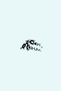 CC(=O)Nc1nccc(-c2c(-c3ccc(F)cc3)ncn2C2CCN(C)CC2)n1